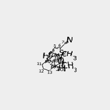 CO[C@@]1(c2ccc(C#N)s2)[C@@H]2CCC[C@H]1CN(C)C2